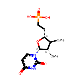 COC1[C@@H](CCP(=O)(O)O)O[C@@H](n2ccc(=O)[nH]c2=O)[C@H]1OC